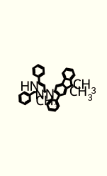 CN1C(c2ccccc2)NC(c2ccccc2)=CC1n1c2ccccc2c2cc3c(cc21)-c1ccccc1C3(C)C